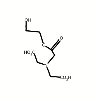 O=C(O)CN(CC(=O)O)CC(=O)OCCO